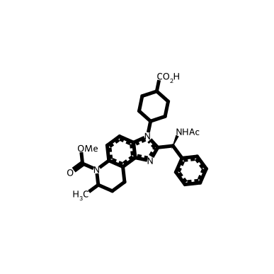 COC(=O)N1c2ccc3c(nc([C@@H](NC(C)=O)c4ccccc4)n3C3CCC(C(=O)O)CC3)c2CCC1C